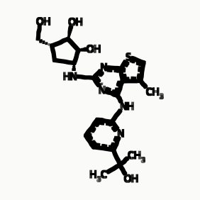 Cc1csc2nc(N[C@@H]3C[C@H](CO)[C@@H](O)[C@H]3O)nc(Nc3cccc(C(C)(C)O)n3)c12